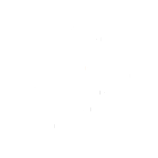 CC(C)CP(CC(C)C)CP(CC(C)C)CC(C)C